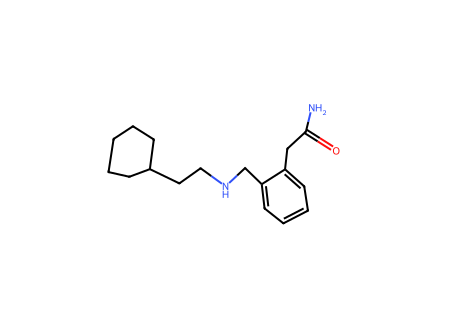 NC(=O)Cc1ccccc1CNCCC1CCCCC1